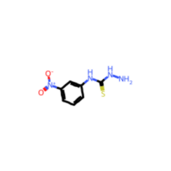 NNC(=S)Nc1cccc([N+](=O)[O-])c1